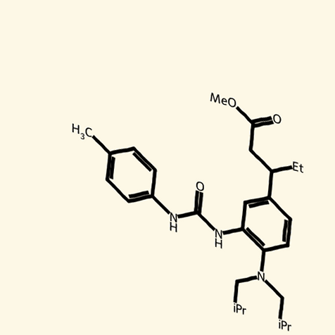 CCC(CC(=O)OC)c1ccc(N(CC(C)C)CC(C)C)c(NC(=O)Nc2ccc(C)cc2)c1